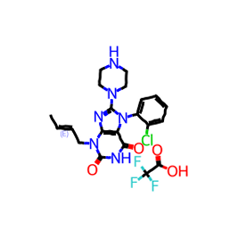 C/C=C/Cn1c(=O)[nH]c(=O)c2c1nc(N1CCNCC1)n2-c1ccccc1Cl.O=C(O)C(F)(F)F